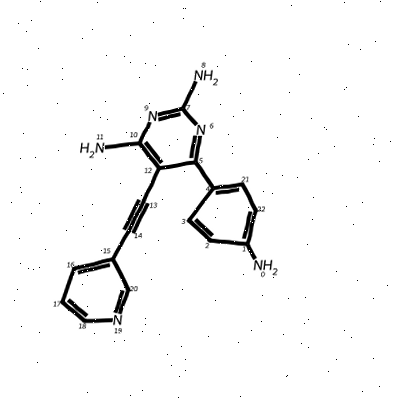 Nc1ccc(-c2nc(N)nc(N)c2C#Cc2cccnc2)cc1